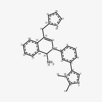 Cc1ncc(-c2cccc(N3C=C(Cc4cccs4)c4ccccc4C3N)c2)n1C